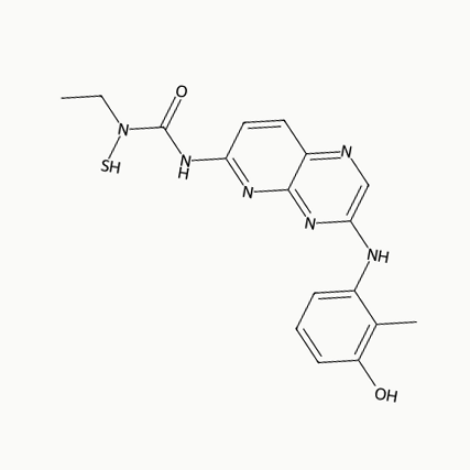 CCN(S)C(=O)Nc1ccc2ncc(Nc3cccc(O)c3C)nc2n1